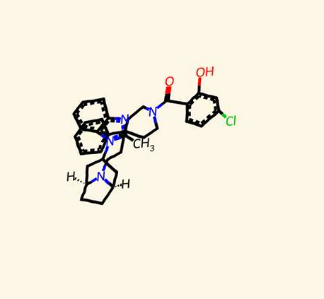 Cc1nc2ccccc2n1C1C[C@H]2CC[C@@H](C1)N2CCC1(c2ccccc2)CCN(C(=O)c2ccc(Cl)cc2O)CC1